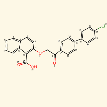 O=C(COc1ccc2ccccc2c1C(=O)O)c1ccc(-c2ccc(Cl)cc2)cc1